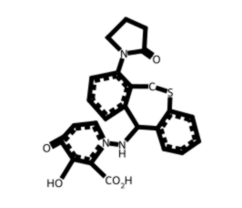 O=C(O)c1c(O)c(=O)ccn1NC1c2ccccc2SCc2c1cccc2N1CCCC1=O